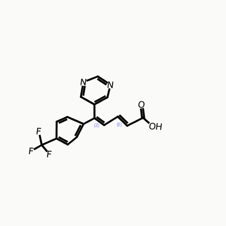 O=C(O)/C=C/C=C(/c1ccc(C(F)(F)F)cc1)c1cncnc1